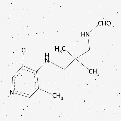 Cc1cncc(Cl)c1NCC(C)(C)CNC=O